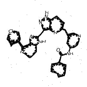 O=C(Nc1cncc(-c2ccc3[nH]nc(-c4nc5c(-c6ccoc6)nccc5[nH]4)c3n2)c1)c1ccccc1